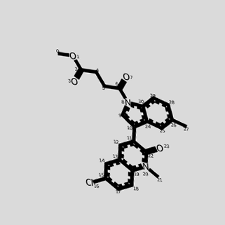 COC(=O)CCC(=O)n1cc(-c2cc3cc(Cl)ccc3n(C)c2=O)c2cc(C)ccc21